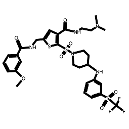 COc1cccc(C(=O)NCc2cc(C(=O)NCCN(C)C)c(S(=O)(=O)N3CCC(Nc4cccc(S(=O)(=O)C(F)(F)F)c4)CC3)s2)c1